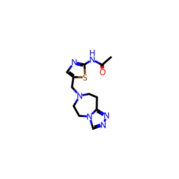 CC(=O)Nc1ncc(CN2CCc3nncn3CC2)s1